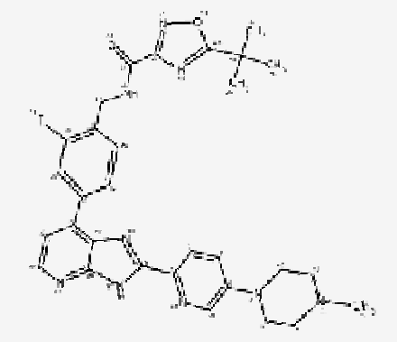 CN1CCN(c2ccc(-c3nc4c(-c5ccc(CNC(=O)c6noc(C(C)(C)C)n6)c(F)c5)ccnc4[nH]3)nc2)CC1